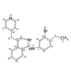 CCc1ccc(Nc2ncc(Cc3ccncc3)c3ccccc23)cc1Br